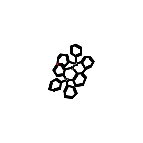 c1ccc([Si]2(c3ccccc3)B3c4ccccc4[Si](c4ccccc4)(c4ccccc4)c4cccc(c43)-c3ccccc32)cc1